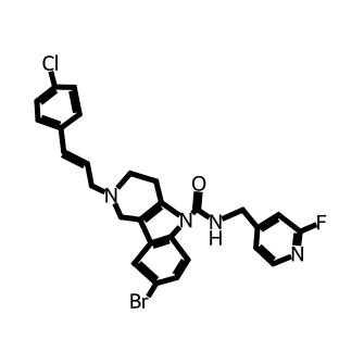 O=C(NCc1ccnc(F)c1)n1c2c(c3cc(Br)ccc31)CN(CC=Cc1ccc(Cl)cc1)CC2